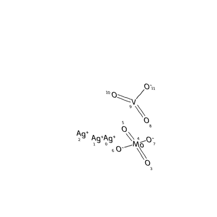 [Ag+].[Ag+].[Ag+].[O]=[Mo](=[O])([O-])[O-].[O]=[V](=[O])[O-]